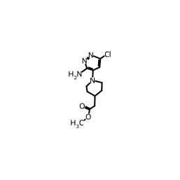 COC(=O)CC1CCN(c2cc(Cl)nnc2N)CC1